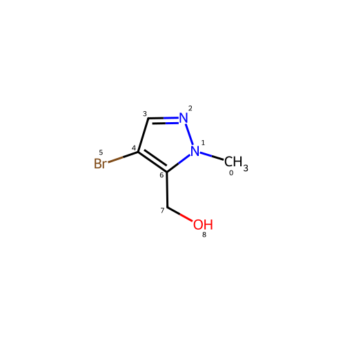 Cn1ncc(Br)c1CO